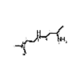 CC(N)CCNCCN(C)C